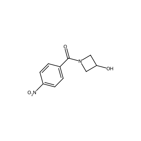 O=C(c1ccc([N+](=O)[O-])cc1)N1CC(O)C1